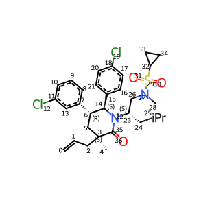 C=CC[C@@]1(C)C[C@H](c2cccc(Cl)c2)[C@@H](c2ccc(Cl)cc2)N([C@@H](CC(C)C)CN(C)S(=O)(=O)C2CC2)C1=O